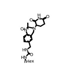 CCCCCCNC(=O)NCc1ccc2c(c1)CN(C1CCC(=O)NC1=O)C(C)=[N+]2[O-]